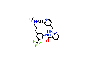 CN(C)CCCc1cc(NC(=O)c2cccnc2NCc2ccncc2)cc(C(F)(F)F)c1